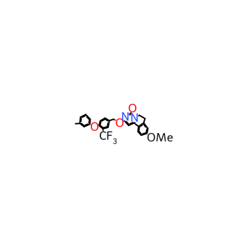 COc1ccc2c(c1)CCn1c-2cc(OCc2ccc(Oc3cccc(C)c3)c(C(F)(F)F)c2)nc1=O